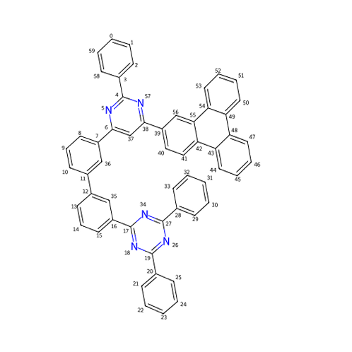 c1ccc(-c2nc(-c3cccc(-c4cccc(-c5nc(-c6ccccc6)nc(-c6ccccc6)n5)c4)c3)cc(-c3ccc4c5ccccc5c5ccccc5c4c3)n2)cc1